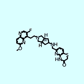 COc1ccc2ncc(F)c(CCN3C[C@H]4CC(NCc5ccc6c(n5)NC(=O)CS6)C[C@H]4C3)c2n1